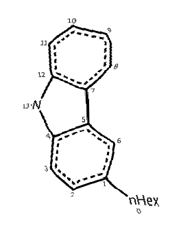 CCCCCCc1ccc2c(c1)-c1ccccc1[N]2